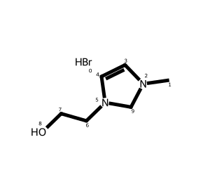 Br.CN1C=CN(CCO)C1